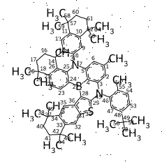 Cc1cc2c3c(c1)N1c4cc5c(cc4C4(C)CCC(C)(C)c6ccc(c1c64)B3c1c(sc3cc4c(cc13)C(C)(C)CCC4(C)C)N2c1cc(C(C)(C)C)ccc1C)C(C)(C)CCC5(C)C